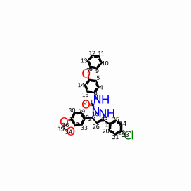 O=C(Nc1ccc(Oc2ccccc2)cc1)N1NC(c2ccc(Cl)cc2)=CC1c1ccc2c(c1)OCO2